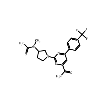 CC(=O)N(C)C1CCN(c2nc(C(N)=O)cc(-c3ccc(C(F)(F)F)cc3)n2)C1